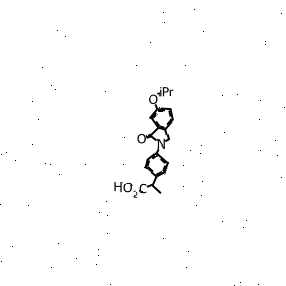 CC(C)Oc1ccc2c(c1)C(=O)N(c1ccc(C(C)C(=O)O)cc1)C2